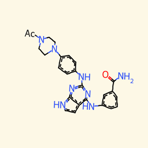 CC(=O)N1CCN(c2ccc(Nc3nc(Nc4cccc(C(N)=O)c4)c4cc[nH]c4n3)cc2)CC1